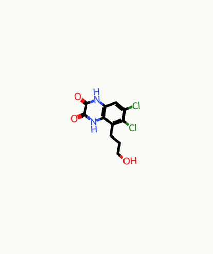 O=c1[nH]c2cc(Cl)c(Cl)c(CCCO)c2[nH]c1=O